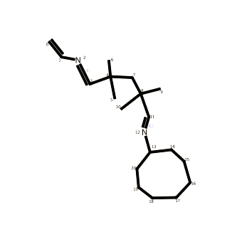 C=C/N=C/C(C)(C)CC(C)(C)/C=N/C1CCCCCCC1